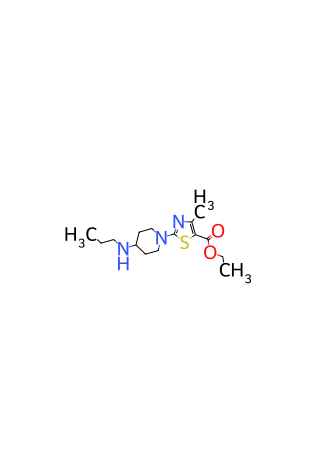 CCCNC1CCN(c2nc(C)c(C(=O)OCC)s2)CC1